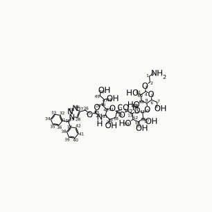 NCCOC1OC(CO)C(OC2OC(CO[C@]3(C(=O)O)C[C@@H](O)C(NC(=O)OCc4cn(C(c5ccccc5)c5ccccc5)nn4)C(C[C@H](O)CO)O3)C(O)C(O)C2O)C(O)C1O